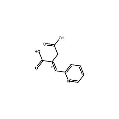 O=C(O)C/C(=C\c1ccccn1)C(=O)O